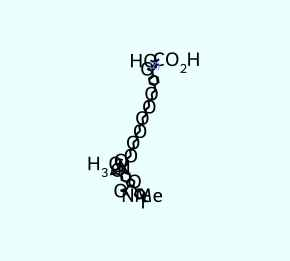 CNC(=O)c1c(-c2ccc(F)cc2)oc2cc(N(CCOCCOCCOCCOCCOCCOCc3ccc(C(=O)/C=C(\O)C(=O)O)cc3)S(C)(=O)=O)c(C3CC3)cc12